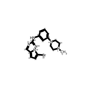 CN1CCN(c2cccc(Nc3ncc4ccc(Br)n4n3)c2)CC1